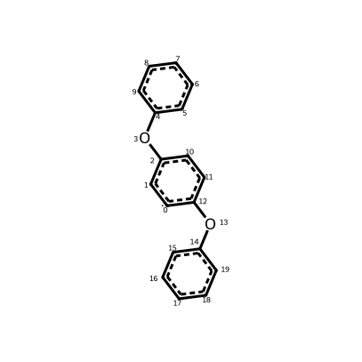 [c]1cc(Oc2ccccc2)ccc1Oc1ccccc1